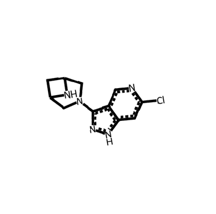 Clc1cc2[nH]nc(N3CC4CC(C3)N4)c2cn1